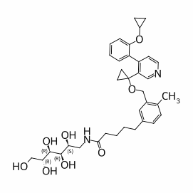 Cc1ccc(CCCCC(=O)NC[C@H](O)[C@@H](O)[C@H](O)[C@H](O)CO)cc1COC1(c2cnccc2-c2ccccc2OC2CC2)CC1